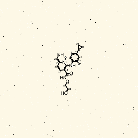 CN1C(Nc2ccc(C3CC3)cc2F)=C(C(=O)NOCCO)C=C/C1=C/N